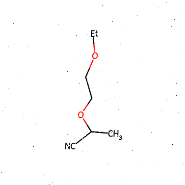 CCOCCOC(C)C#N